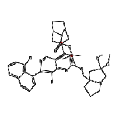 COC1(OC)CN2CCCC2(COc2nc(N3CC4CCC(C3)N4C(=O)OC(C)(C)C)c3cnc(-c4cccc5cccc(Cl)c45)c(F)c3n2)C1